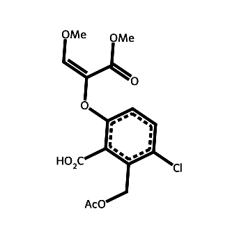 COC=C(Oc1ccc(Cl)c(COC(C)=O)c1C(=O)O)C(=O)OC